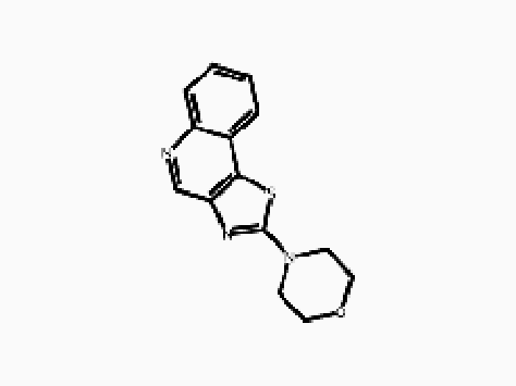 c1ccc2c(c1)ncc1nc(N3CCOCC3)sc12